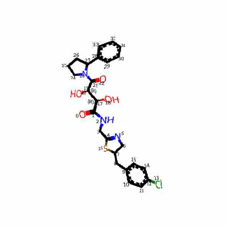 O=C(NCC1=NCC(Cc2ccc(Cl)cc2)S1)[C@H](O)[C@@H](O)C(=O)N1CCCC1c1ccccc1